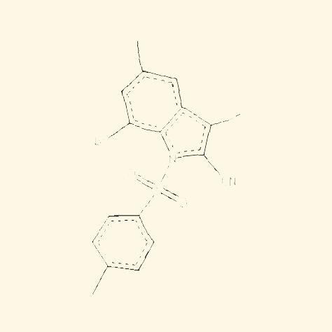 Cc1ccc(S(=O)(=O)n2c(C#N)c(C)c3cc(C)cc(Br)c32)cc1